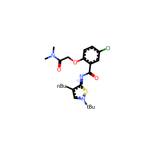 CCCCc1cn(C(C)(C)C)s/c1=N\C(=O)c1cc(Cl)ccc1OCC(=O)N(C)C